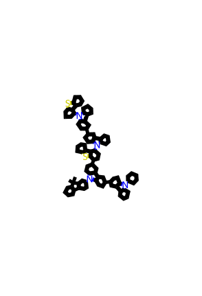 CC1(C)c2ccccc2-c2ccc(-n3c4ccc(-c5ccc6c(c5)c5ccccc5n6-c5ccccc5)cc4c4cc(-c5ccc(-n6c7ccccc7c7cc(-c8ccc9c(c8)c8ccccc8n9-c8cccc9sc%10ccccc%10c89)ccc76)c6c5sc5ccccc56)ccc43)cc21